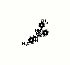 Cc1ccc(CNc2nc(NCc3ccc(C)cc3)n(-c3ccccc3)n2)cc1